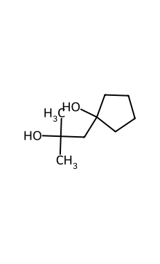 CC(C)(O)CC1(O)CCCC1